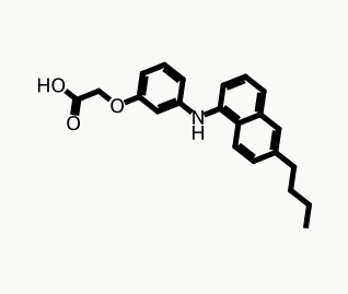 CCCCc1ccc2c(Nc3cccc(OCC(=O)O)c3)cccc2c1